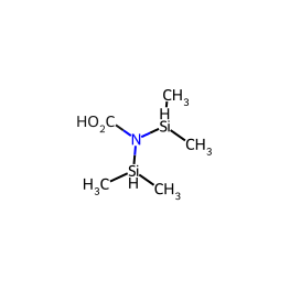 C[SiH](C)N(C(=O)O)[SiH](C)C